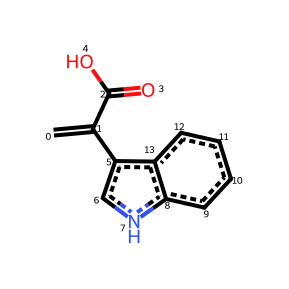 C=C(C(=O)O)c1c[nH]c2ccccc12